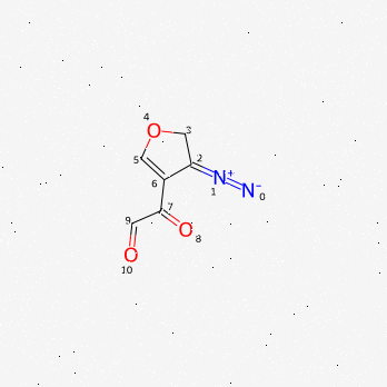 [N-]=[N+]=C1COC=C1C(=O)C=O